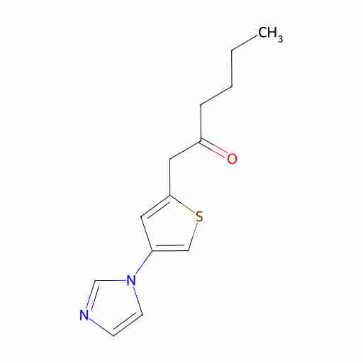 CCCCC(=O)Cc1cc(-n2ccnc2)cs1